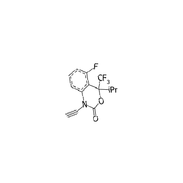 C#CN1C(=O)OC(C(C)C)(C(F)(F)F)c2c(F)cccc21